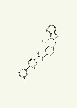 Cn1c(CN2CCC(NC(=O)c3ccc(-c4cccc(F)c4)nc3)CC2)nc2cccnc21